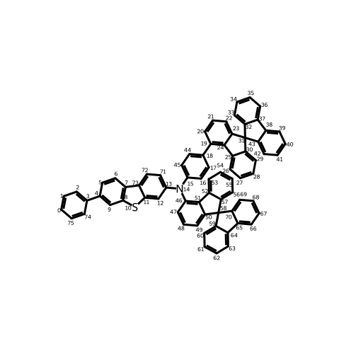 c1ccc(-c2ccc3c(c2)sc2cc(N(c4ccc(-c5cccc6c5-c5ccccc5C65c6ccccc6-c6ccccc65)cc4)c4cccc5c4-c4ccccc4C54c5ccccc5-c5ccccc54)ccc23)cc1